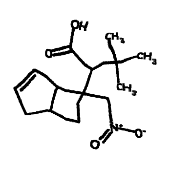 CC(C)(C)C(C(=O)O)C1(C[N+](=O)[O-])CC2CC=CC21